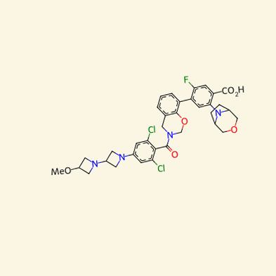 COC1CN(C2CN(c3cc(Cl)c(C(=O)N4COc5c(cccc5-c5cc(N6C7CCC6COC7)c(C(=O)O)cc5F)C4)c(Cl)c3)C2)C1